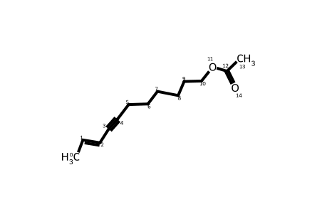 CC=CC#CCCCCCCOC(C)=O